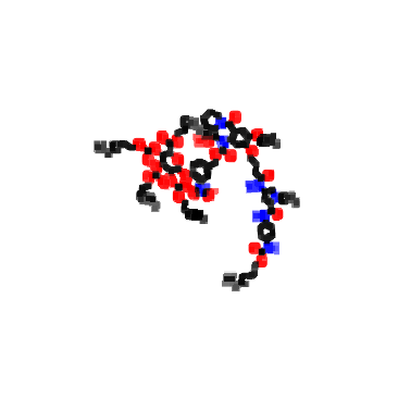 C=CCOC(=O)Nc1ccc(NC(=O)c2cc(NC(=O)CCCOc3cc4c(cc3OC)C(=O)N3CCCC[C@H]3C(O)N4C(=O)OCc3ccc(O[C@@H]4O[C@H](C(=O)OCC=C)[C@@H](OC(=O)OCC=C)[C@H](OC(=O)OCC=C)[C@H]4OC(=O)OCC=C)c([N+](=O)[O-])c3)cn2C)cc1